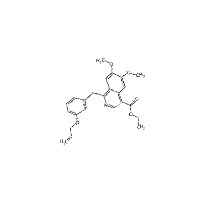 C=CCOc1cccc(Cc2ncc(C(=O)OCC)c3cc(OC)c(OC)cc23)c1